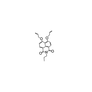 C=CCOc1ccc2c3c(ccc(OCC=C)c13)C(=O)N(CCC)C2=O